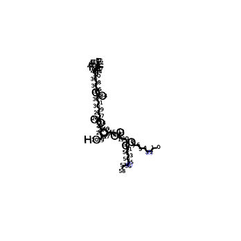 CC/C=C\CCCCOC(CCC(=O)OCc1cc(CO)cc(COC(=O)CCCCCCC(=O)OCCCCCCC(F)(F)C(F)(F)F)c1)OCCCC/C=C\CC